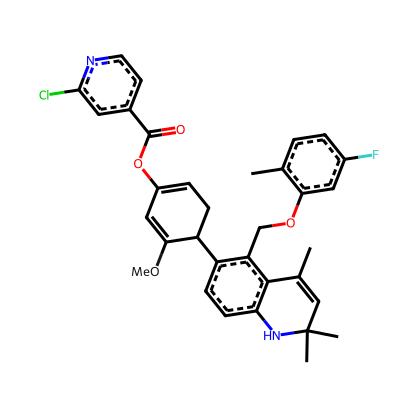 COC1=CC(OC(=O)c2ccnc(Cl)c2)=CCC1c1ccc2c(c1COc1cc(F)ccc1C)C(C)=CC(C)(C)N2